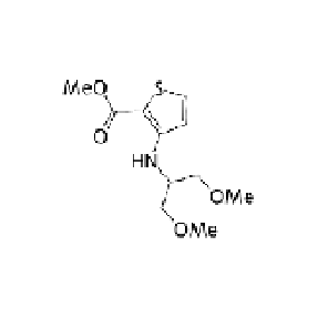 COCC(COC)Nc1ccsc1C(=O)OC